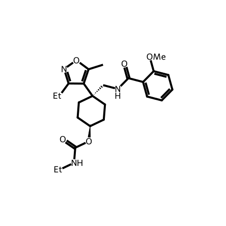 CCNC(=O)O[C@H]1CC[C@@](CNC(=O)c2ccccc2OC)(c2c(CC)noc2C)CC1